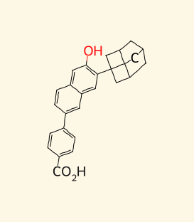 O=C(O)c1ccc(-c2ccc3cc(O)c(C45CC6CC7CC(C4)C65C7)cc3c2)cc1